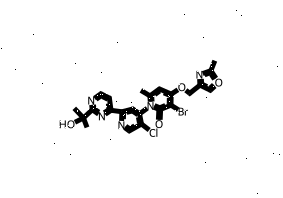 Cc1nc(COc2cc(C)n(-c3cc(-c4ccnc(C(C)(C)O)n4)ncc3Cl)c(=O)c2Br)co1